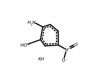 Nc1ccc([N+](=O)[O-])cc1O.[KH]